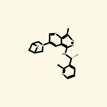 Cc1ncccc1[C@@H](C)Nc1nnc(C)c2ncc(N3CC4CC(C3)O4)cc12